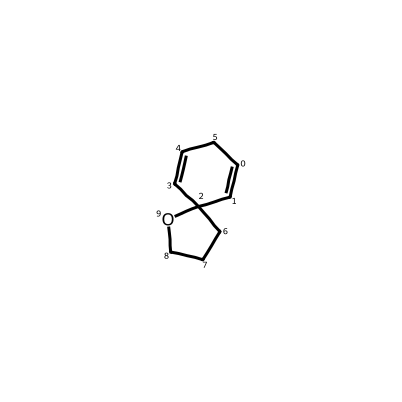 C1=CC2(C=CC1)CCCO2